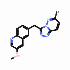 CBc1cnc2ccc(Cc3nnc4ccc(CC)nn34)cc2c1